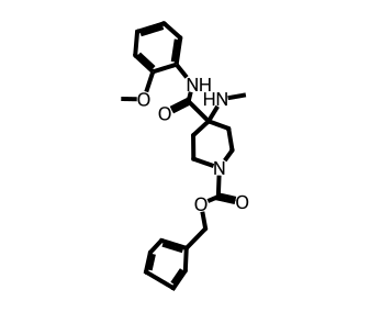 CNC1(C(=O)Nc2ccccc2OC)CCN(C(=O)OCc2ccccc2)CC1